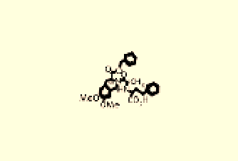 COc1cc2c(cc1OC)CN(C(=O)[C@H](C)NC(CCc1ccccc1)C(=O)O)[C@H](C(=O)OCc1ccccc1)C2